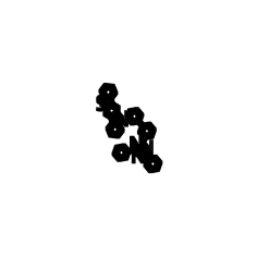 c1ccc(-c2nc(-c3ccccc3)nc(-c3cccc(-c4cccc(-n5c6ccccc6c6cc7sc8ccccc8c7cc65)c4)c3)n2)cc1